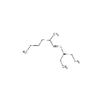 CCCCC(C)C=CN(CC)CC